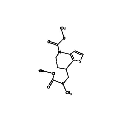 CN(CC1CCN(C(=O)OC(C)(C)C)c2ccsc21)C(=O)OC(C)(C)C